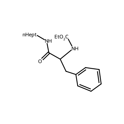 CCCCCCCNC(=O)C(Cc1ccccc1)NC(=O)OCC